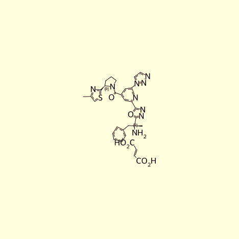 Cc1csc([C@H]2CCCN2C(=O)c2cc(-c3nnc([C@](C)(N)Cc4ccccc4)o3)nc(-n3ccnn3)c2)n1.O=C(O)C=CC(=O)O